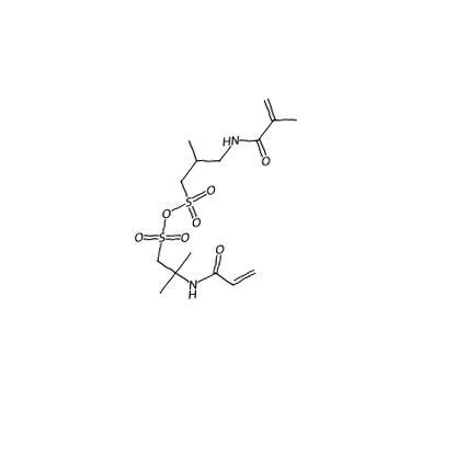 C=CC(=O)NC(C)(C)CS(=O)(=O)OS(=O)(=O)CC(C)CNC(=O)C(=C)C